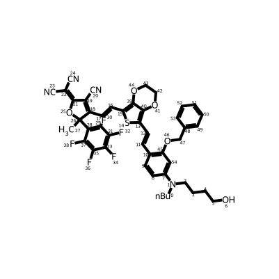 CCCCN(CCCCO)c1ccc(/C=C/c2sc(/C=C/C3=C(C#N)C(=C(C#N)C#N)OC3(C)c3c(F)c(F)c(F)c(F)c3F)c3c2OCCO3)c(OCc2ccccc2)c1